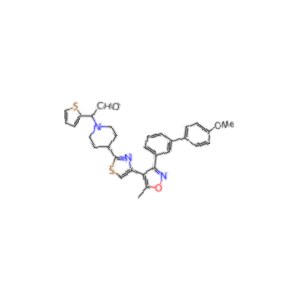 COc1ccc(-c2cccc(-c3noc(C)c3-c3csc(C4CCN(C(C=O)c5cccs5)CC4)n3)c2)cc1